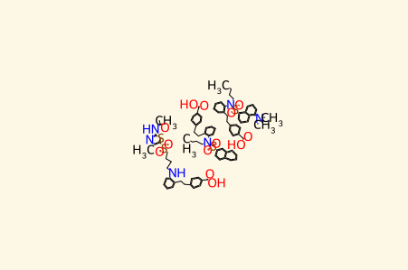 CC(=O)Nc1nc(C)c(S(=O)(=O)CCCCNc2ccccc2CCc2ccc(C(=O)O)cc2)s1.CCCCN(c1ccccc1CCc1ccc(C(=O)O)cc1)S(=O)(=O)c1ccc2ccccc2c1.CCCCN(c1ccccc1CCc1ccc(C(=O)O)cc1)S(=O)(=O)c1cccc2c(N(C)C)cccc12